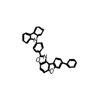 c1ccc(-c2ccc3c(c2)oc2ccc4oc(-c5ccc(-n6c7ccccc7c7ccccc76)cc5)nc4c23)cc1